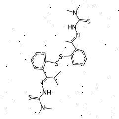 C/C(=N\NC(=S)N(C)C)c1ccccc1SSc1ccccc1/C(=N/NC(=S)N(C)C)C(C)C